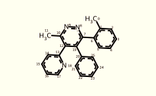 Cc1ccccc1-c1nnc(C)c(-c2ccccn2)c1-c1ccccc1